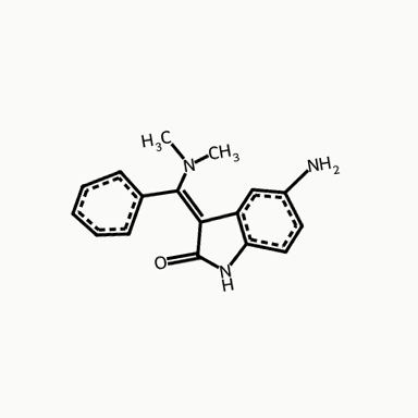 CN(C)C(=C1C(=O)Nc2ccc(N)cc21)c1ccccc1